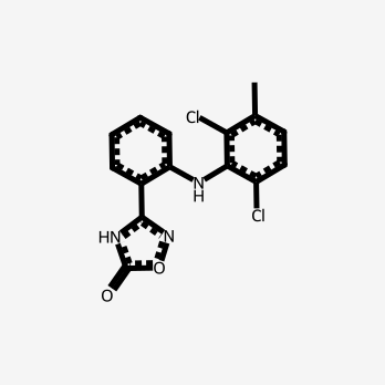 Cc1ccc(Cl)c(Nc2ccccc2-c2noc(=O)[nH]2)c1Cl